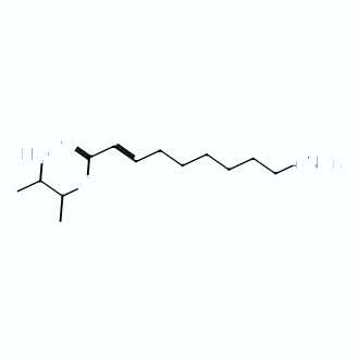 CCCCCCCCCCCCCCCC=CC(=O)OC(C)C(C)O